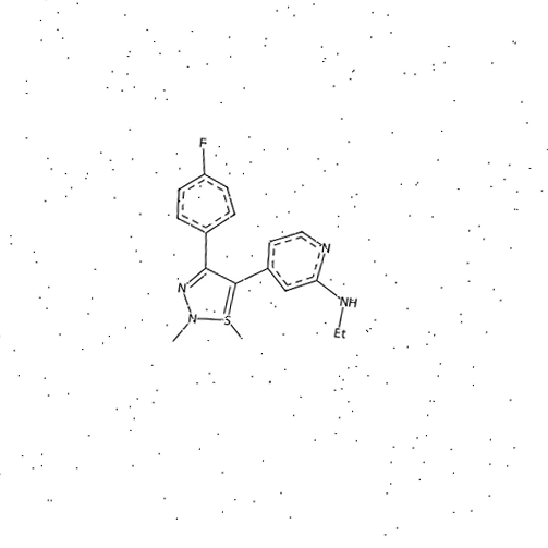 CCNc1cc(C2=S(C)N(C)N=C2c2ccc(F)cc2)ccn1